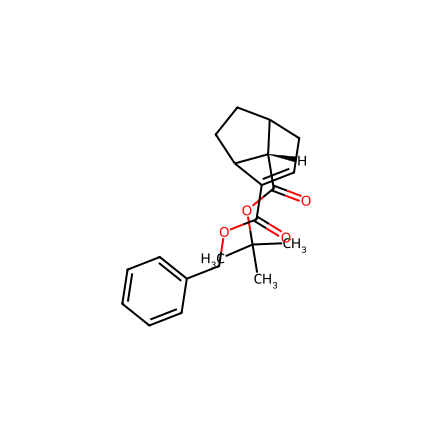 CC(C)(C)OC(=O)[C@H]1C2CC=C(C(=O)OCc3ccccc3)C1CC2